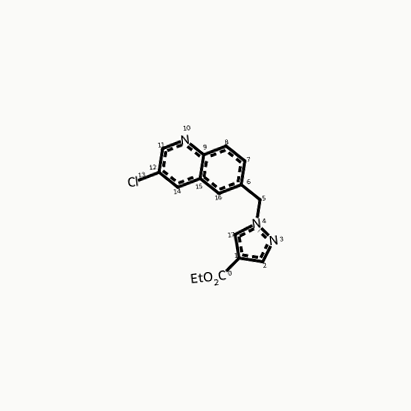 CCOC(=O)c1cnn(Cc2ccc3ncc(Cl)cc3c2)c1